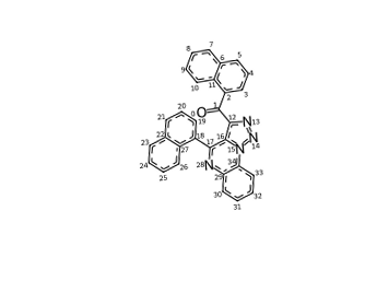 O=C(c1cccc2ccccc12)c1nnn2c1c(-c1cccc3ccccc13)nc1ccccc12